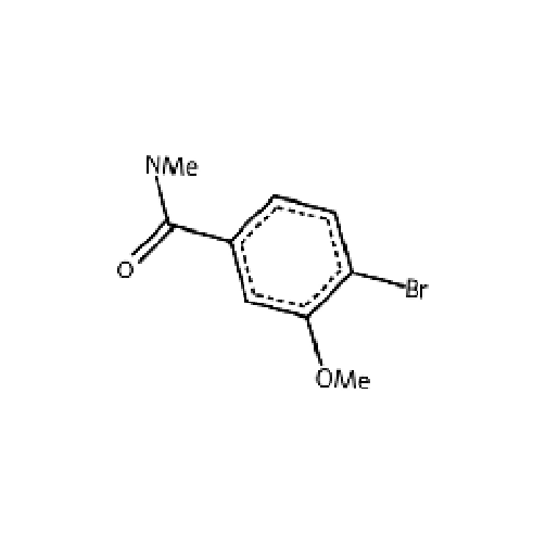 CNC(=O)c1ccc(Br)c(OC)c1